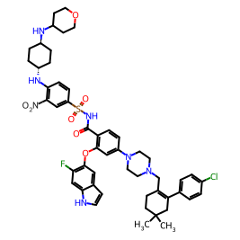 CC1(C)CCC(CN2CCN(c3ccc(C(=O)NS(=O)(=O)c4ccc(N[C@H]5CC[C@H](NC6CCOCC6)CC5)c([N+](=O)[O-])c4)c(Oc4cc5cc[nH]c5cc4F)c3)CC2)=C(c2ccc(Cl)cc2)C1